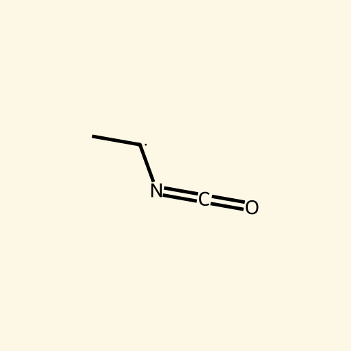 C[CH]N=C=O